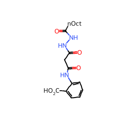 CCCCCCCCC(=O)NNC(=O)CC(=O)Nc1ccccc1C(=O)O